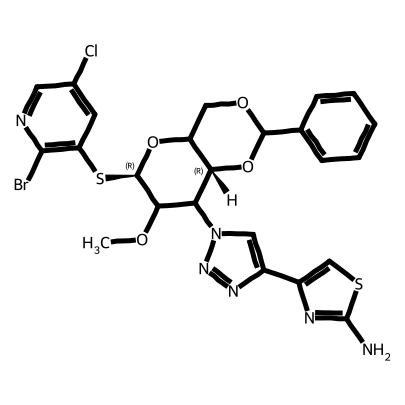 COC1C(n2cc(-c3csc(N)n3)nn2)[C@H]2OC(c3ccccc3)OCC2O[C@@H]1Sc1cc(Cl)cnc1Br